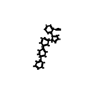 CC(C)(C)c1ccccc1-c1nncn1-c1cccc(-c2ccc(-c3ccccc3)cc2)c1